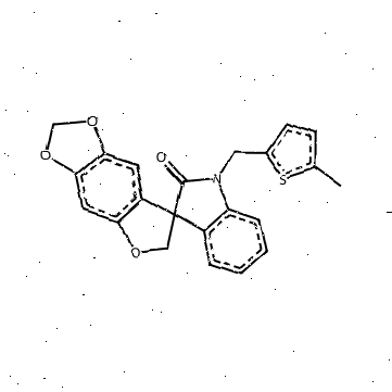 Cc1ccc(CN2C(=O)C3(COc4cc5c(cc43)OCO5)c3ccccc32)s1